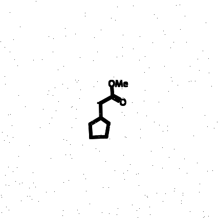 COC(=O)[CH]C1CCCC1